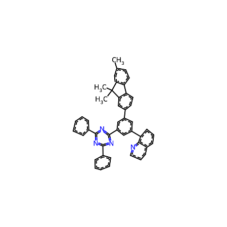 Cc1ccc2c(c1)C(C)(C)c1cc(-c3cc(-c4nc(-c5ccccc5)nc(-c5ccccc5)n4)cc(-c4cccc5cccnc45)c3)ccc1-2